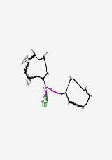 BrP(C1CCCCC1)C1CCCCC1